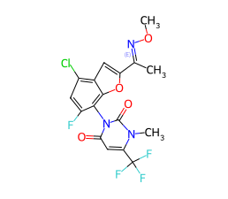 CO/N=C(\C)c1cc2c(Cl)cc(F)c(-n3c(=O)cc(C(F)(F)F)n(C)c3=O)c2o1